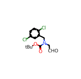 CC(C)(C)OC(=O)N(CC=O)Cc1cc(Cl)ccc1Cl